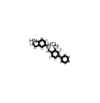 Cl.FC(F)(F)c1cc(-c2ccccc2)ccc1COc1ccc2c(c1)CCN2